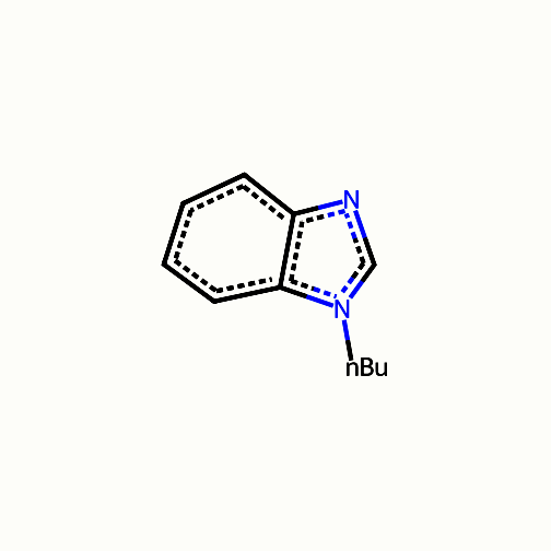 [CH2]CCCn1cnc2ccccc21